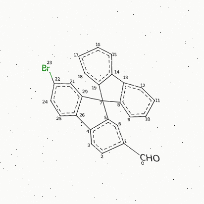 O=Cc1ccc2c(c1)C1(c3ccccc3-c3ccccc31)c1cc(Br)ccc1-2